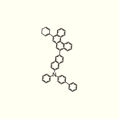 C1=CC(c2cc3cc(-c4ccc5cc(N(c6ccccc6)c6ccc(-c7ccccc7)cc6)ccc5c4)c4ccccc4c3c3ccccc23)=CCC1